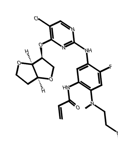 C=CC(=O)Nc1cc(Nc2ncc(Cl)c(O[C@H]3CO[C@H]4CCO[C@H]43)n2)c(F)cc1N(C)CCN(C)C